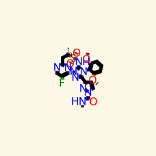 CNC(=O)n1ccc(-c2nnc(NS(=O)(=O)[C@@H](C)Cc3ncc(F)cn3)n2-c2c(OC)cccc2OC)n1